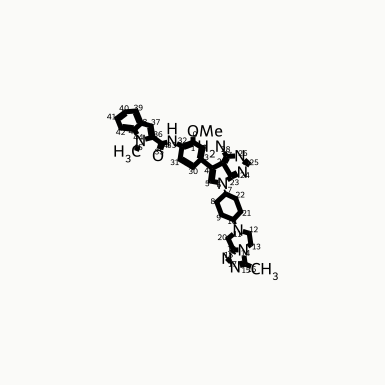 COc1cc(-c2cn([C@H]3CC[C@H](N4CCn5c(C)nnc5C4)CC3)c3ncnc(N)c23)ccc1NC(=O)c1cc2ccccc2n1C